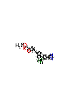 COC(=O)C[C@@H]1COc2cc(CC[C@@H]3CCc4c3ccc(C(F)(F)F)c4-c3ccc(-c4cncnc4)cc3)ccc21